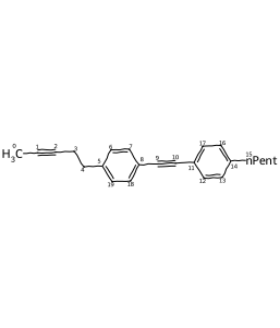 CC#CCCc1ccc(C#Cc2ccc(CCCCC)cc2)cc1